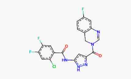 O=C(Nc1cc(C(=O)N2C=Nc3cc(F)ccc3C2)n[nH]1)c1cc(F)c(F)cc1Cl